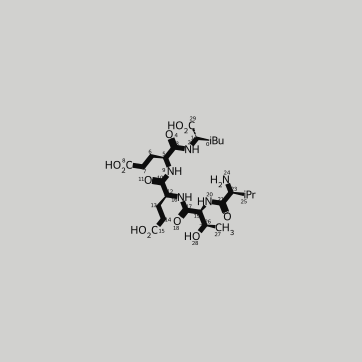 CC[C@H](C)[C@H](NC(=O)[C@H](CCC(=O)O)NC(=O)[C@H](CCC(=O)O)NC(=O)[C@@H](NC(=O)[C@@H](N)C(C)C)[C@@H](C)O)C(=O)O